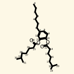 CCCCCCCc1ccc(OC(=O)CCCCC(C)C)c(OC(=O)CCCCC(C)C)c1